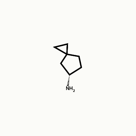 N[C@H]1CCC2(CC2)C1